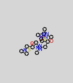 c1ccc(-c2nc(-c3cccc(-c4cc5oc6cccc(-c7nc(-c8ccccc8)nc(-c8ccccc8)n7)c6c5c5sc6c(-n7c8ccccc8c8ccccc87)cccc6c45)c3)nc(-c3cccc4oc5c(ccc6sc7c(-n8c9ccccc9c9ccccc98)cccc7c65)c34)n2)cc1